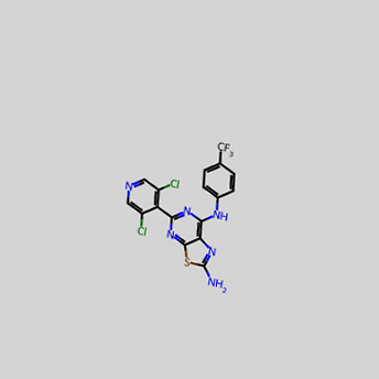 Nc1nc2c(Nc3ccc(C(F)(F)F)cc3)nc(-c3c(Cl)cncc3Cl)nc2s1